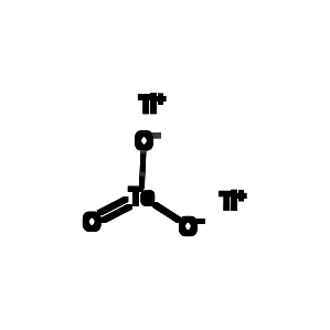 O=[Te]([O-])[O-].[Tl+].[Tl+]